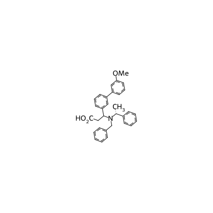 COc1cccc(-c2cccc(C(CC(=O)O)N(Cc3ccccc3)[C@H](C)c3ccccc3)c2)c1